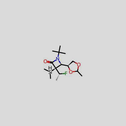 CC1OC[C@H]([C@@H]2N(C(C)(C)C)C(=O)[C@]2([C@@H](C)F)[SiH](C)C)O1